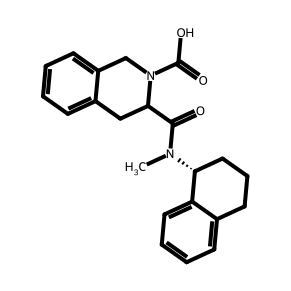 CN(C(=O)C1Cc2ccccc2CN1C(=O)O)[C@@H]1CCCc2ccccc21